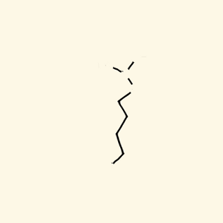 OP(O)OCCCCCl